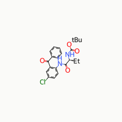 CC[C@H](NC(=O)OC(C)(C)C)C(=O)Nc1ccc(Cl)cc1C(=O)c1ccccc1